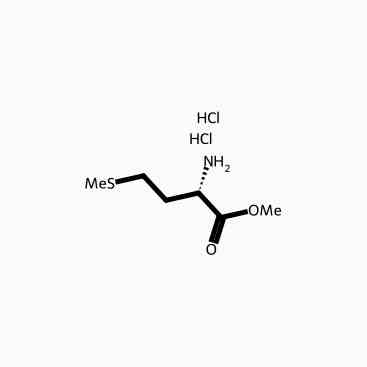 COC(=O)[C@@H](N)CCSC.Cl.Cl